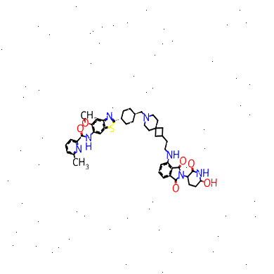 COc1cc2nc([C@H]3CC[C@H](CN4CCC5(CC4)CC(CCNc4cccc6c4C(=O)N(C4CCC(O)NC4=O)C6=O)C5)CC3)sc2cc1NC(=O)c1cccc(C)n1